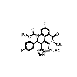 CC(=O)OCC=C1c2c(C(=O)OC(C)(C)C)cc(F)cc2N(C(=O)OC(C)(C)C)C(c2ccc(F)cc2)C1c1ncnn1C